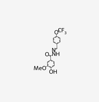 COc1cc(C(=O)N/N=C/c2ccc(OC(F)(F)F)cc2)ccc1O